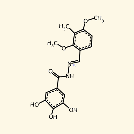 COc1ccc(/C=N/NC(=O)c2cc(O)c(O)c(O)c2)c(OC)c1C